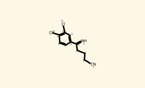 N#CCCCC(=N)c1ccc(Cl)c(Cl)c1